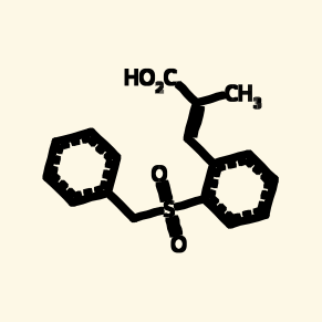 CC(=Cc1ccccc1S(=O)(=O)Cc1ccccc1)C(=O)O